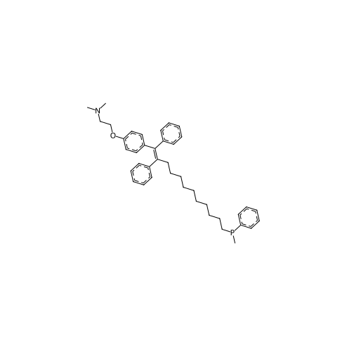 CN(C)CCOc1ccc(/C(=C(/CCCCCCCCCCP(C)c2ccccc2)c2ccccc2)c2ccccc2)cc1